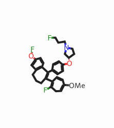 COC1=CCC(F)=C(C2=C(c3ccc(O[C@H]4CCN(CCCF)C4)cc3)c3ccc(OF)cc3CCC2)C=C1